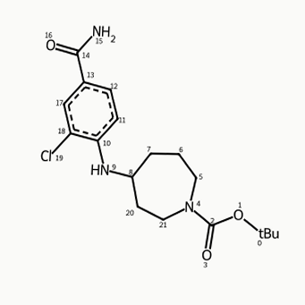 CC(C)(C)OC(=O)N1CCCC(Nc2ccc(C(N)=O)cc2Cl)CC1